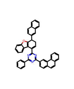 C1=C(c2nc(-c3ccccc3)nc(-c3ccc4ccc5ccccc5c4c3)n2)c2c(oc3ccccc23)C(c2ccc3ccccc3c2)C1